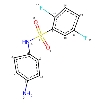 Nc1ccc(NS(=O)(=O)c2cc(F)ccc2F)cc1